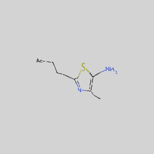 CC(=O)CCc1nc(C)c(N)s1